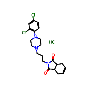 Cl.O=C1C2CC=CCC2C(=O)N1CCCN1CCN(c2ccc(Cl)cc2Cl)CC1